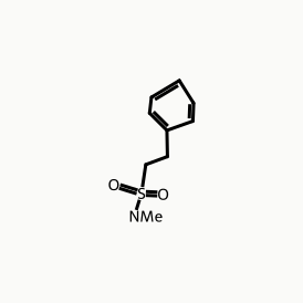 [CH2]NS(=O)(=O)CCc1ccccc1